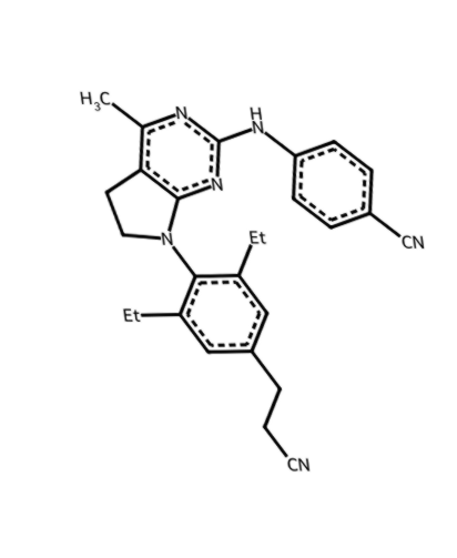 CCc1cc(CCC#N)cc(CC)c1N1CCc2c(C)nc(Nc3ccc(C#N)cc3)nc21